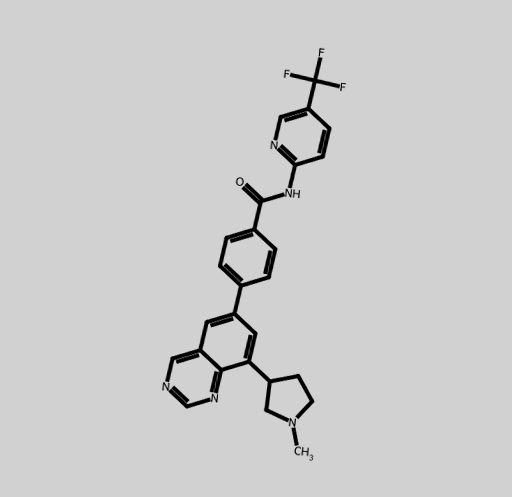 CN1CCC(c2cc(-c3ccc(C(=O)Nc4ccc(C(F)(F)F)cn4)cc3)cc3cncnc23)C1